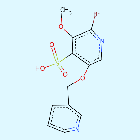 COc1c(Br)ncc(OCc2cccnc2)c1S(=O)(=O)O